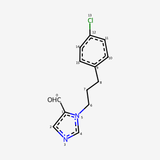 O=Cc1cncn1CCCc1ccc(Cl)cc1